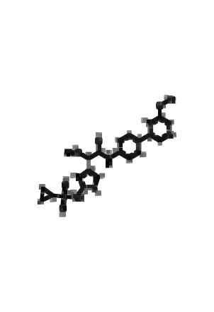 CCOc1cncc(-c2ccc(NC(=O)C(OC)c3csc(NS(=O)(=O)C4CC4)n3)cc2)n1